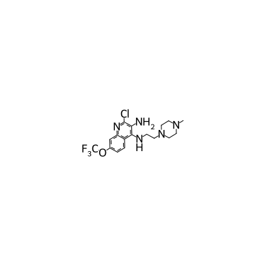 CN1CCN(CCNc2c(N)c(Cl)nc3cc(OC(F)(F)F)ccc23)CC1